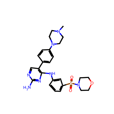 CN1CCN(c2ccc(-c3cnc(N)nc3Nc3cccc(S(=O)(=O)N4CCOCC4)c3)cc2)CC1